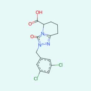 O=C(O)C1CCCc2nn(Cc3cc(Cl)cc(Cl)c3)c(=O)n21